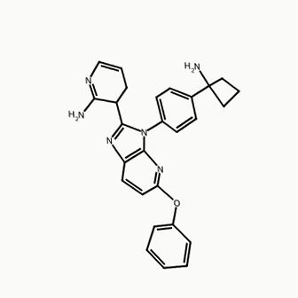 NC1=NC=CCC1c1nc2ccc(Oc3ccccc3)nc2n1-c1ccc(C2(N)CCC2)cc1